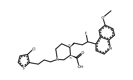 COc1ccc2nccc(C(F)CC[C@@H]3CCN(CCCc4sccc4Cl)C[C@@H]3C(=O)O)c2c1